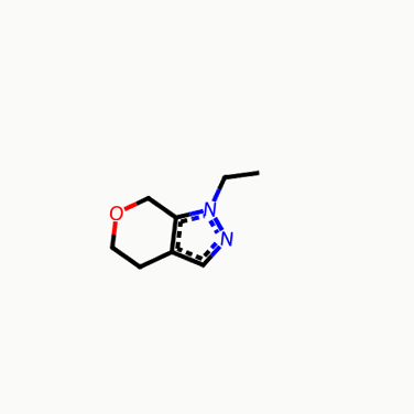 CCn1ncc2c1COCC2